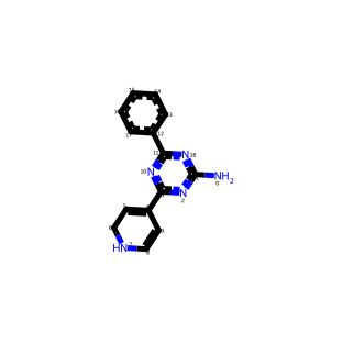 Nc1nc(C2=CCNC=C2)nc(-c2ccccc2)n1